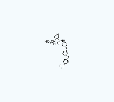 O=C(O)Nc1ccncc1C(=O)NC1CCC(=Cc2cccc(Oc3ccc(C(F)(F)F)cn3)c2)CC1